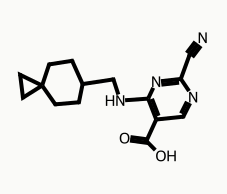 N#Cc1ncc(C(=O)O)c(NCC2CCC3(CC2)CC3)n1